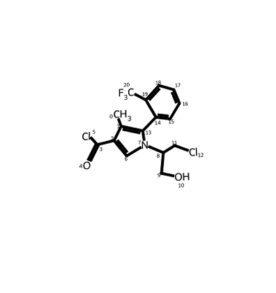 Cc1c(C(=O)Cl)cn(C(CO)CCl)c1-c1ccccc1C(F)(F)F